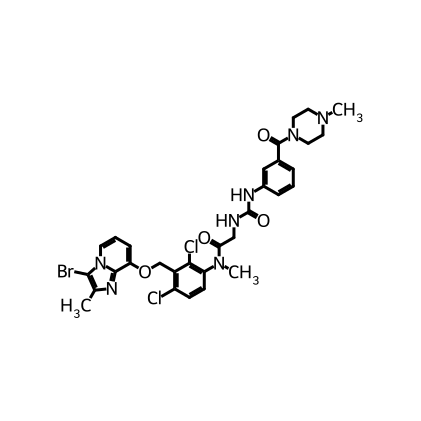 Cc1nc2c(OCc3c(Cl)ccc(N(C)C(=O)CNC(=O)Nc4cccc(C(=O)N5CCN(C)CC5)c4)c3Cl)cccn2c1Br